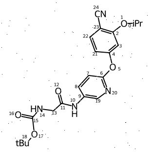 CC(C)Oc1cc(Oc2ccc(NC(=O)CNC(=O)OC(C)(C)C)cn2)ccc1C#N